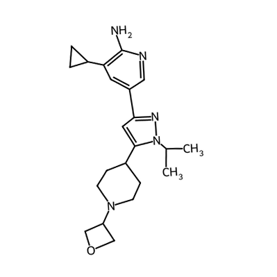 CC(C)n1nc(-c2cnc(N)c(C3CC3)c2)cc1C1CCN(C2COC2)CC1